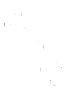 C=C(CCCCCCCCCNCC(C)C)N(C)CC(C)C